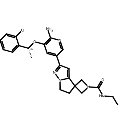 CCNC(=O)N1CC2(CCn3nc(-c4cnc(N)c(O[C@H](C)c5ccccc5Cl)c4)cc32)C1